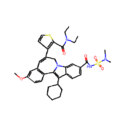 CCN(CC)C(=O)c1sccc1C1=Cc2cc(OC)ccc2-c2c(C3CCCCC3)c3ccc(C(=O)NS(=O)(=O)N(C)C)cc3n2C1